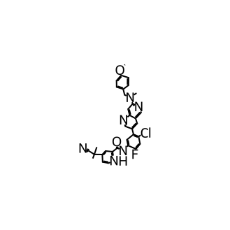 COc1ccc(CN(C)c2cc3ncc(-c4cc(NC(=O)c5cc(C(C)(C)C#N)ccn5)c(F)cc4Cl)cc3cn2)cc1